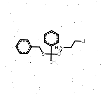 CC(O[SiH2]CCCl)(SCc1ccccc1)c1ccccc1